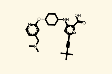 CN(C)Cc1ccnc(O[C@H]2CC[C@H](Nc3cc(C#CC(C)(C)C)sc3C(=O)O)CC2)c1